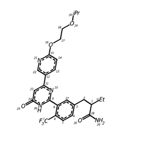 CCC(Cc1ccc(C(F)(F)F)c(-c2nc(-c3ccc(OCCOC(C)C)nc3)cc(=O)[nH]2)c1)C(N)=O